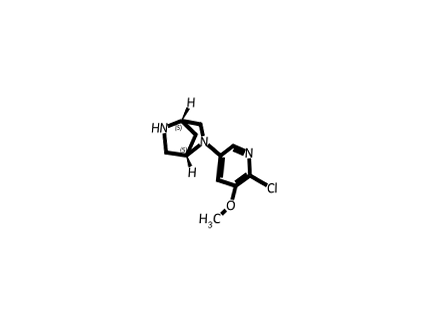 COc1cc(N2C[C@@H]3C[C@H]2CN3)cnc1Cl